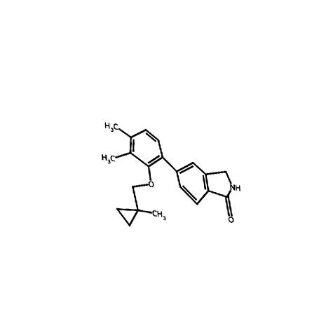 Cc1ccc(-c2ccc3c(c2)CNC3=O)c(OCC2(C)CC2)c1C